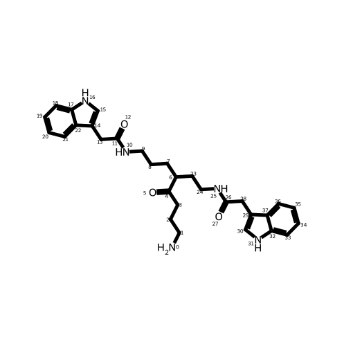 NCCCC(=O)C(CCCNC(=O)Cc1c[nH]c2ccccc12)CCNC(=O)Cc1c[nH]c2ccccc12